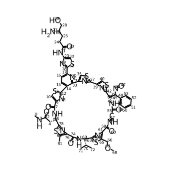 CNC(=O)C[C@@H]1NC(=O)c2csc(n2)-c2ccc(-c3nc(NC(=O)CC[C@H](N)CO)cs3)nc2-c2csc(n2)-c2csc(n2)[C@H]([C@@H](N=O)c2ccccc2)NC(=O)CNC(=O)c2nc(sc2COC)[C@H](C(C)C)NC(=O)c2nc1sc2C